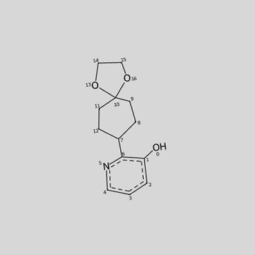 Oc1cccnc1C1CCC2(CC1)OCCO2